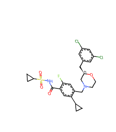 O=C(NS(=O)(=O)C1CC1)c1cc(C2CC2)c(CN2CCO[C@H](Cc3cc(Cl)cc(Cl)c3)C2)cc1F